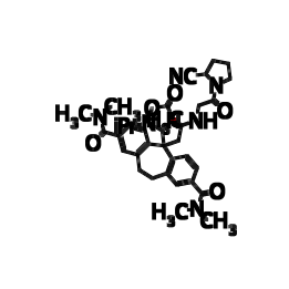 CC(C)n1oc(=O)nc1C1(C[C@H](C)NCC(=O)N2CCCC2C#N)c2ccc(C(=O)N(C)C)cc2CCc2cc(C(=O)N(C)C)ccc21